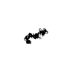 CS(=O)(=O)c1cncc(C(=O)NCc2cc3nc(-c4cccc(N5CCO[C@H](c6cccnc6)C5)n4)ccc3cn2)c1